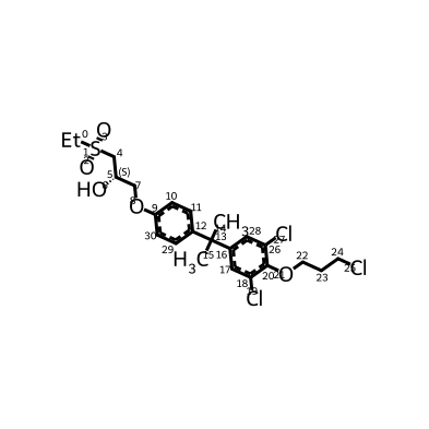 CCS(=O)(=O)C[C@@H](O)COc1ccc(C(C)(C)c2cc(Cl)c(OCCCCl)c(Cl)c2)cc1